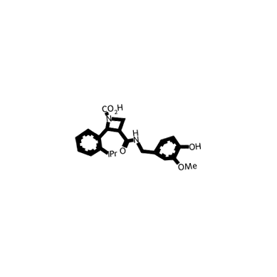 COc1cc(CNC(=O)C2CN(C(=O)O)C2c2ccccc2C(C)C)ccc1O